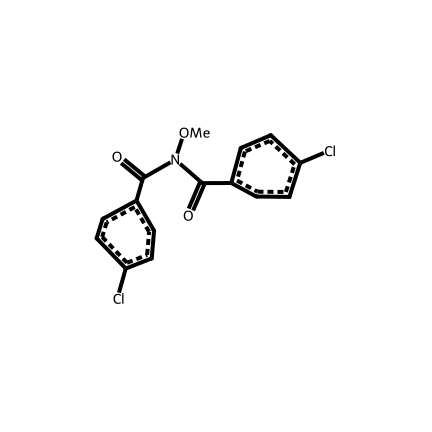 CON(C(=O)c1ccc(Cl)cc1)C(=O)c1ccc(Cl)cc1